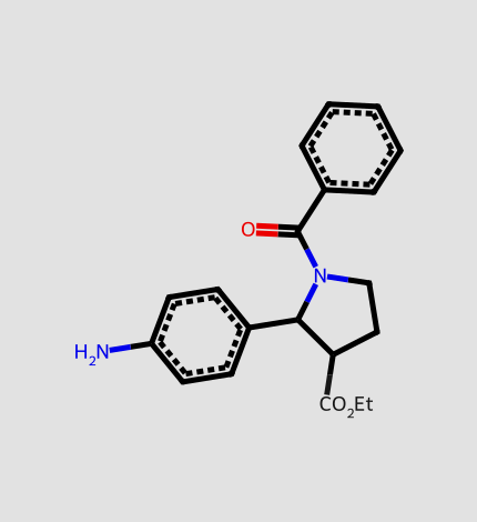 CCOC(=O)C1CCN(C(=O)c2ccccc2)C1c1ccc(N)cc1